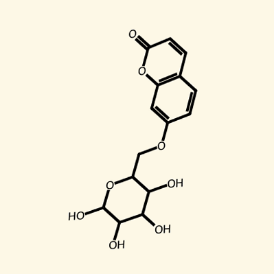 O=c1ccc2ccc(OCC3OC(O)C(O)C(O)C3O)cc2o1